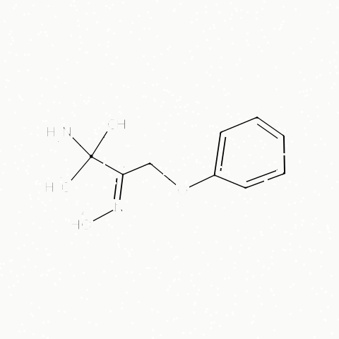 CC(C)(N)C(COc1ccccc1)=NO